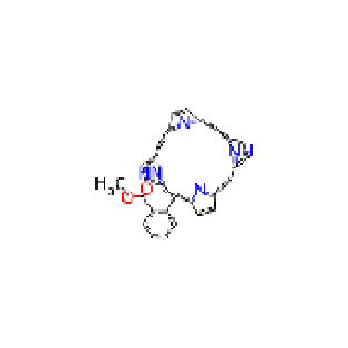 COC(=O)c1ccccc1-c1c2nc(cc3ccc(cc4nc(cc5ccc1[nH]5)C=C4)[nH]3)C=C2